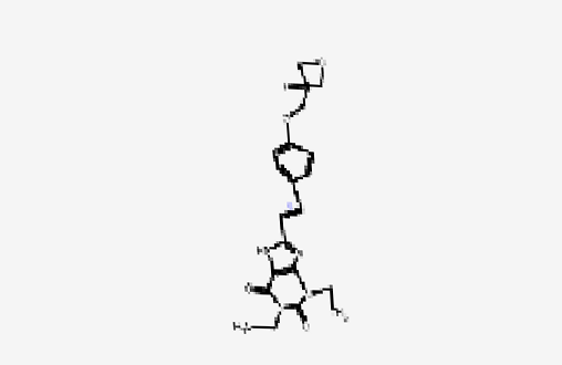 CCn1c(=O)c2[nH]c(/C=C/c3ccc(OCC4(F)COC4)cc3)nc2n(CC)c1=O